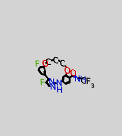 O=C(NCC(F)(F)F)c1ccc2cc1OCCCCCCOc1cc(ccc1F)-c1nc(ncc1F)N2